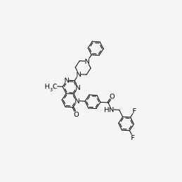 Cc1nc(N2CCN(c3ccccc3)CC2)nc2c1ccc(=O)n2-c1ccc(C(=O)NCc2ccc(F)cc2F)cc1